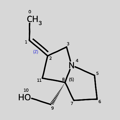 C/C=C1\CN2CCC[C@@]2(CO)C1